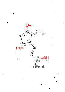 C=C1[C@H](O)C[C@@H](O)[C@@H]1C=C[C@@H](O)CCCCC